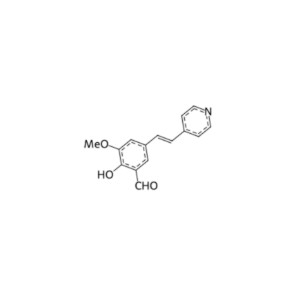 COc1cc(/C=C/c2ccncc2)cc(C=O)c1O